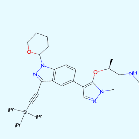 CCNC[C@H](C)Oc1c(-c2ccc3c(c2)c(C#C[Si](C(C)C)(C(C)C)C(C)C)nn3C2CCCCO2)cnn1C